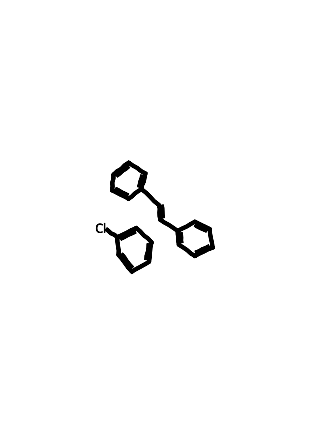 C(=Cc1ccccc1)c1ccccc1.Clc1ccccc1